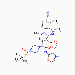 Cc1nc(N[C@H](C)c2cccc(C#N)c2C)c(C2OCCO2)c(C(C(=O)NC2CNCCO2)N2CCN(C(=O)OC(C)(C)C)CC2)n1